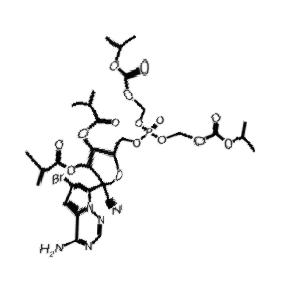 CC(C)OC(=O)OCOP(=O)(OCOC(=O)OC(C)C)OCC1OC(C#N)(c2c(Br)cc3c(N)ncnn23)C(OC(=O)C(C)C)C1OC(=O)C(C)C